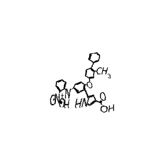 Cc1cc(Oc2ccc(Nc3ccccc3[N+](=O)[O-])cc2-c2cc(C(=O)O)c[nH]2)ccc1-c1ccccc1